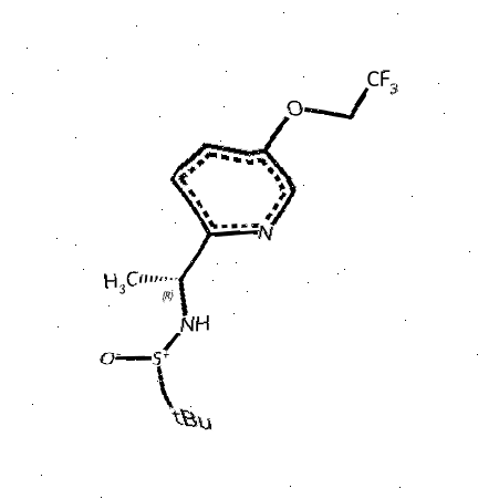 C[C@@H](N[S+]([O-])C(C)(C)C)c1ccc(OCC(F)(F)F)cn1